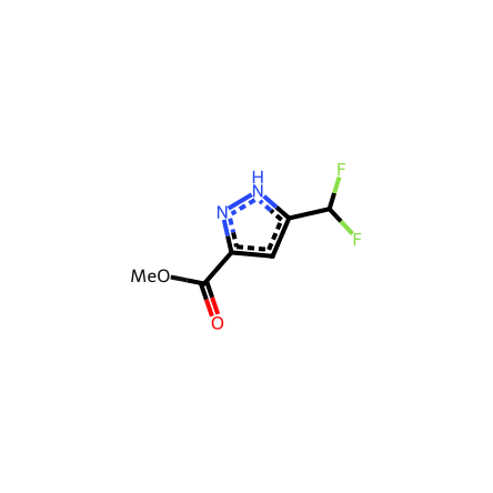 COC(=O)c1cc(C(F)F)[nH]n1